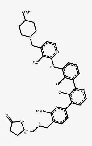 COc1nc(-c2ccnc(-c3cccc(Nc4nccc(CN5CCC(C(=O)O)CC5)c4C(F)(F)F)c3Cl)c2Cl)ccc1CNC[C@@H]1CCC(=O)N1